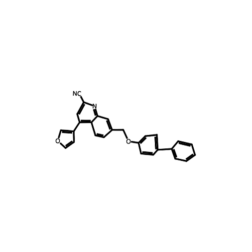 N#Cc1cc(-c2ccoc2)c2ccc(COc3ccc(-c4ccccc4)cc3)cc2n1